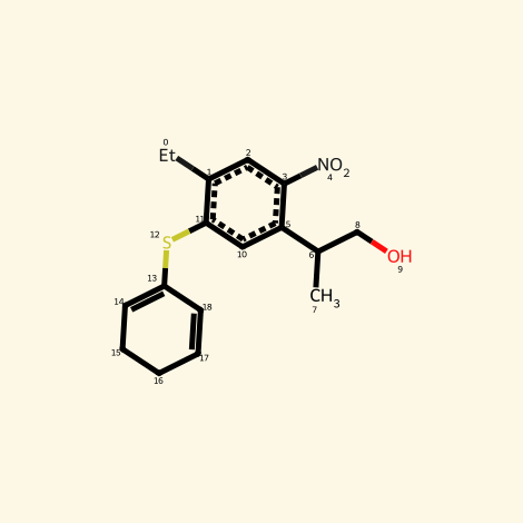 CCc1cc([N+](=O)[O-])c(C(C)CO)cc1SC1=CCCC=C1